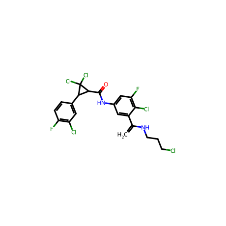 C=C(NCCCCl)c1cc(NC(=O)C2C(c3ccc(F)c(Cl)c3)C2(Cl)Cl)cc(F)c1Cl